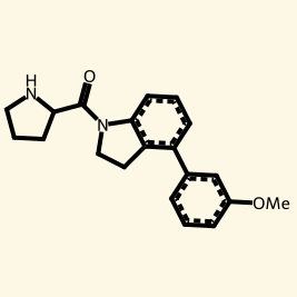 COc1cccc(-c2cccc3c2CCN3C(=O)C2CCCN2)c1